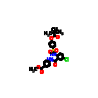 COC(=O)c1ccc(NC(=O)c2cc(Cl)ccc2NS(=O)(=O)c2ccc(OC(=O)C(C)(C)C)cc2)cc1